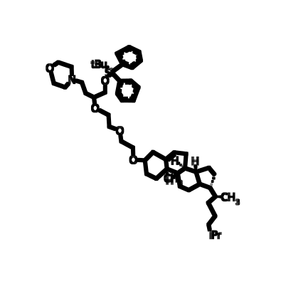 CC(C)CCC[C@@H](C)[C@H]1CC[C@@H]2C1CC[C@H]1[C@H]2CC=C2CC(OCCOCCOC(CCN3CCOCC3)CO[Si](c3ccccc3)(c3ccccc3)C(C)(C)C)CC[C@@]21C